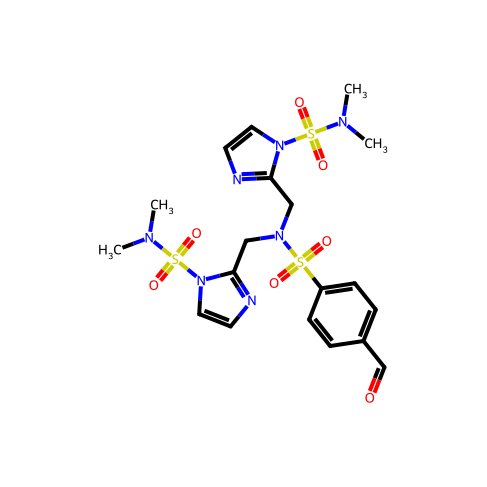 CN(C)S(=O)(=O)n1ccnc1CN(Cc1nccn1S(=O)(=O)N(C)C)S(=O)(=O)c1ccc(C=O)cc1